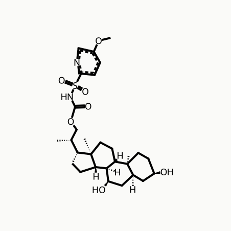 COc1ccc(S(=O)(=O)NC(=O)OC[C@@H](C)[C@H]2CC[C@H]3[C@@H]4[C@H](O)C[C@@H]5C[C@H](O)CC[C@]5(C)[C@H]4CC[C@]23C)nc1